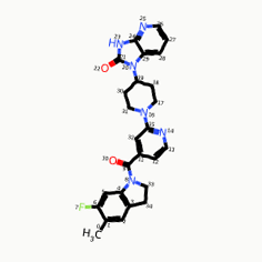 Cc1cc2c(cc1F)N(C(=O)c1ccnc(N3CCC(n4c(=O)[nH]c5ncccc54)CC3)c1)CC2